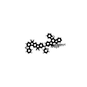 CCCCCCCC1(CCCCCCC)c2ccccc2-c2c1c1c(c3c2oc2ccccc23)-c2ccc(N(c3ccc4c(c3)C(C)(C)c3cc5c(cc3-4)C(C)(C)c3ccc4oc6ccccc6c4c3-5)c3ccccn3)cc2C1(CCCCCCC)CCCCCCC